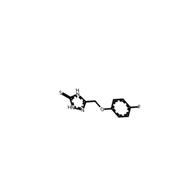 Fc1ccc(OCc2n[nH]c(=S)[nH]2)cc1